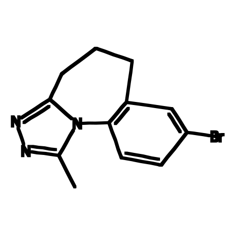 Cc1nnc2n1-c1ccc(Br)cc1CCC2